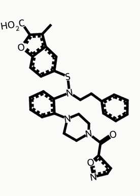 Cc1c(C(=O)O)oc2ccc(SN(CCc3ccccc3)c3ccccc3N3CCN(C(=O)c4ccno4)CC3)cc12